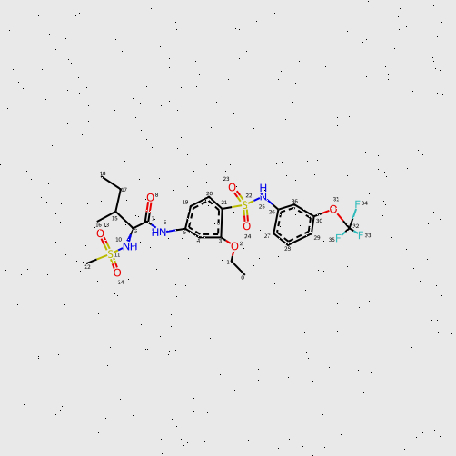 CCOc1cc(NC(=O)[C@@H](NS(C)(=O)=O)C(C)CC)ccc1S(=O)(=O)Nc1cccc(OC(F)(F)F)c1